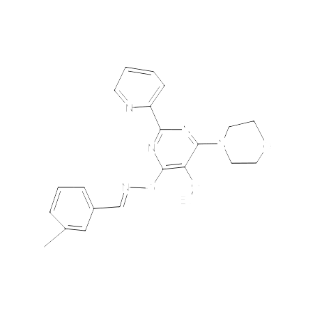 CCOc1c(ON=Cc2cccc(C)c2)nc(-c2ccccn2)nc1N1CCOCC1